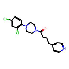 O=C(CCCc1ccncc1)N1CCN(c2ccc(Cl)cc2Cl)CC1